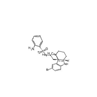 C=C1CCC[C@@H]2Nc3ccc(Br)cc3[C@]12CCNS(=O)(=O)c1ccccc1N